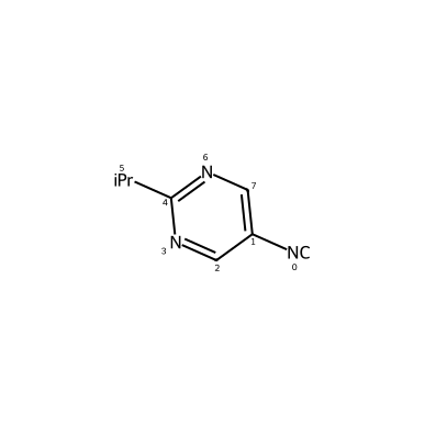 [C-]#[N+]c1cnc(C(C)C)nc1